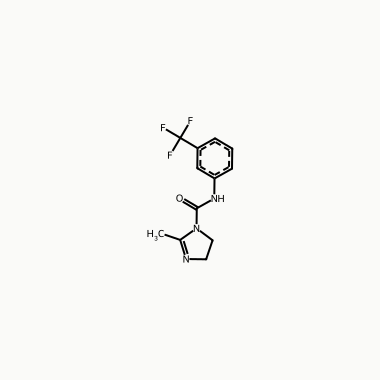 CC1=NCCN1C(=O)Nc1cccc(C(F)(F)F)c1